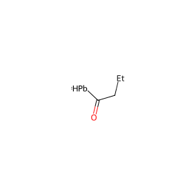 CCC[C](=O)[PbH]